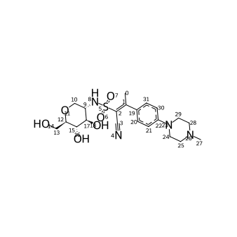 C/C(=C(/C#N)S(=O)(=O)N[C@H]1CO[C@H](CO)[C@@H](O)[C@@H]1O)c1ccc(N2CCN(C)CC2)cc1